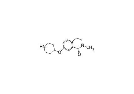 CN1CCc2ccc(OC3CCNCC3)cc2C1=O